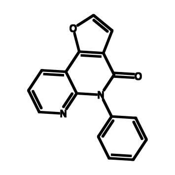 O=c1c2ccoc2c2cccnc2n1-c1ccccc1